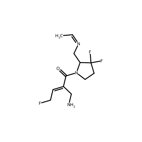 C/C=N\CC1N(C(=O)/C(=C/CF)CN)CCC1(F)F